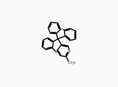 O=C(O)c1ccc(C(c2ccccc2)(c2ccccc2F)c2ccccc2F)cn1